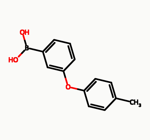 Cc1ccc(Oc2cccc(B(O)O)c2)cc1